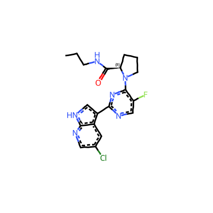 CCCNC(=O)[C@H]1CCCN1c1nc(-c2c[nH]c3ncc(Cl)cc23)ncc1F